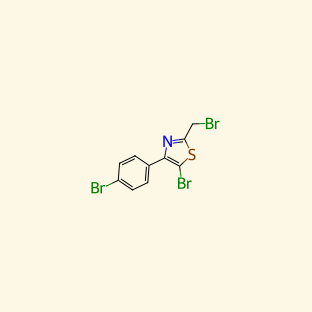 BrCc1nc(-c2ccc(Br)cc2)c(Br)s1